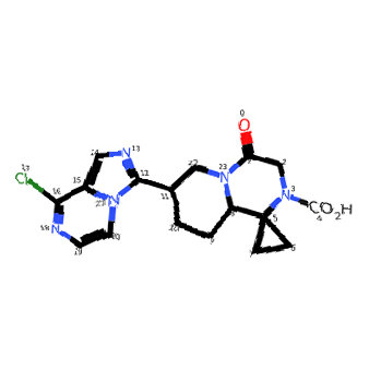 O=C1CN(C(=O)O)C2(CC2)C2CCC(c3ncc4c(Cl)nccn34)CN12